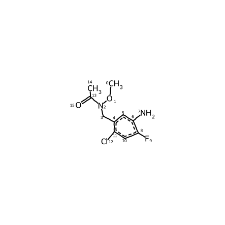 CON(Cc1cc(N)c(F)cc1Cl)C(C)=O